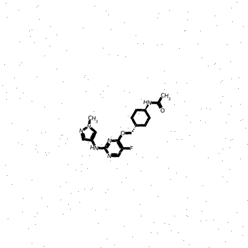 CC(=O)N[C@H]1CC[C@H](COc2nc(Nc3cnn(C)c3)ncc2F)CC1